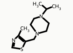 Cc1ncsc1CN1CCN(C(C)C)CC1